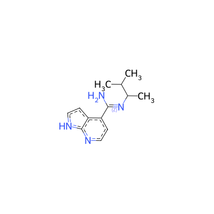 CC(C)C(C)/N=C(\N)c1ccnc2[nH]ccc12